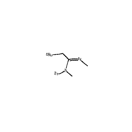 CCN(C)/C(CC(C)(C)C)=N\C